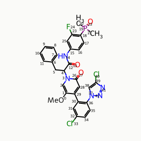 COc1cn(C(Cc2ccccc2)C(=O)Nc2ccc(P(C)(C)=O)c(F)c2)c(=O)cc1-c1cc(Cl)ccc1-n1cc(Cl)nn1